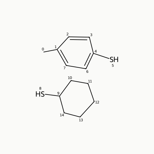 Cc1ccc(S)cc1.SC1CCCCC1